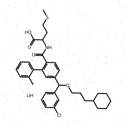 CSCCC(NC(=O)c1ccc(C(OCCCC2CCCCC2)c2cccc(Cl)c2)cc1-c1ccccc1C)C(=O)O.[LiH]